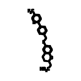 O=C(O)CC1CCc2cc(SCc3ccc(-c4ccc(C(F)(F)F)cn4)cc3)ccc2O1